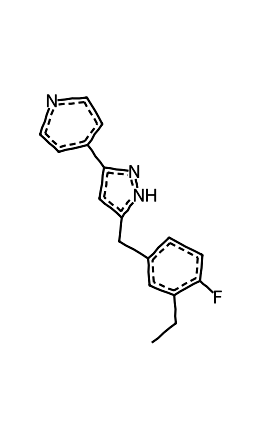 CCc1cc(Cc2cc(-c3ccncc3)n[nH]2)ccc1F